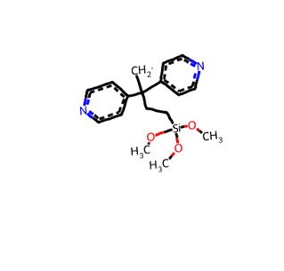 [CH2]C(CC[Si](OC)(OC)OC)(c1ccncc1)c1ccncc1